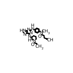 C#CCCC(=O)N(C)c1ccc(Nc2nc(NC3CCCN(C(=O)C=C)C3)c3nc[nH]c3n2)cc1